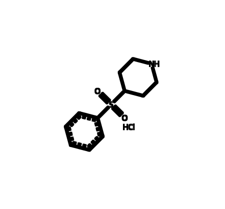 Cl.O=S(=O)(c1ccccc1)C1CCNCC1